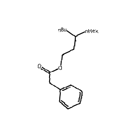 CCCCCCC(CCCC)CCOC(=O)Cc1ccccc1